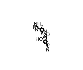 CN(C)CCOc1cccc(CN(CCO)C(=O)c2nc3ccc(-c4cc(N)ncn4)cc3o2)c1